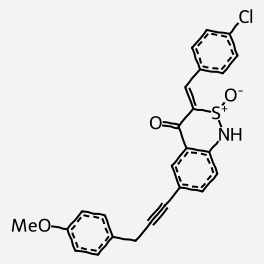 COc1ccc(CC#Cc2ccc3c(c2)C(=O)/C(=C/c2ccc(Cl)cc2)[S+]([O-])N3)cc1